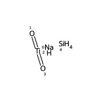 [NaH].[O]=[Ti]=[O].[SiH4]